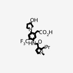 CC(C)c1c(C(=O)Nc2cc(CC(=O)O)c(N3CC[C@@H](O)C3)cc2C(F)(F)F)ccn1C